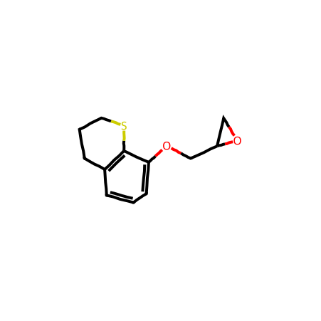 c1cc2c(c(OCC3CO3)c1)SCCC2